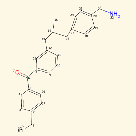 CC(C)Cc1ccc(C(=O)c2cccc(CC(C)Cc3ccc(CN)cc3)c2)cc1